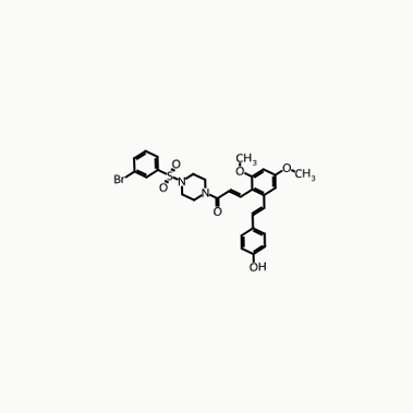 COc1cc(C=Cc2ccc(O)cc2)c(C=CC(=O)N2CCN(S(=O)(=O)c3cccc(Br)c3)CC2)c(OC)c1